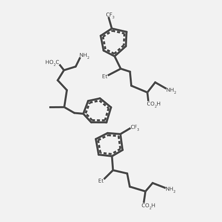 CC(CCC(CN)C(=O)O)Cc1ccccc1.CCC(CCC(CN)C(=O)O)c1ccc(C(F)(F)F)cc1.CCC(CCC(CN)C(=O)O)c1cccc(C(F)(F)F)c1